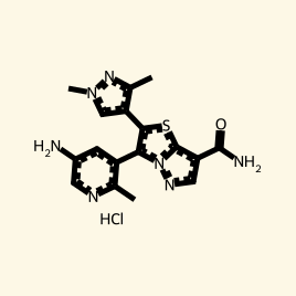 Cc1nn(C)cc1-c1sc2c(C(N)=O)cnn2c1-c1cc(N)cnc1C.Cl